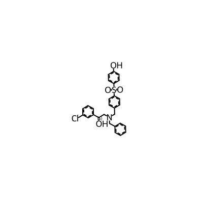 O=S(=O)(c1ccc(O)cc1)c1ccc(CN(Cc2ccccc2)C[C@@H](O)c2cccc(Cl)c2)cc1